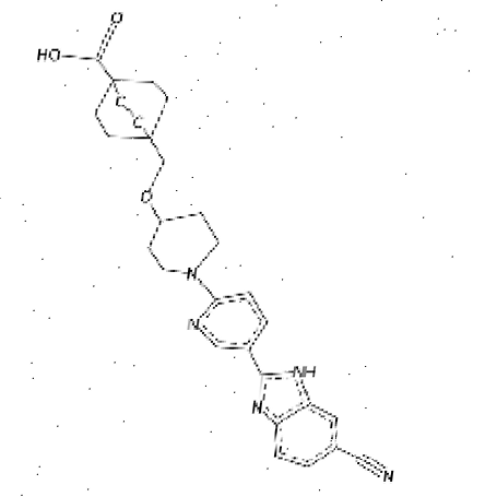 N#Cc1ccc2nc(-c3ccc(N4CCC(OCC56CCC(C(=O)O)(CC5)CC6)CC4)nc3)[nH]c2c1